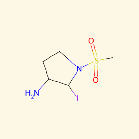 CS(=O)(=O)N1CCC(N)C1I